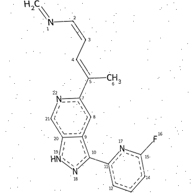 C=N/C=C\C=C(/C)c1cc2c(-c3cccc(F)n3)n[nH]c2cn1